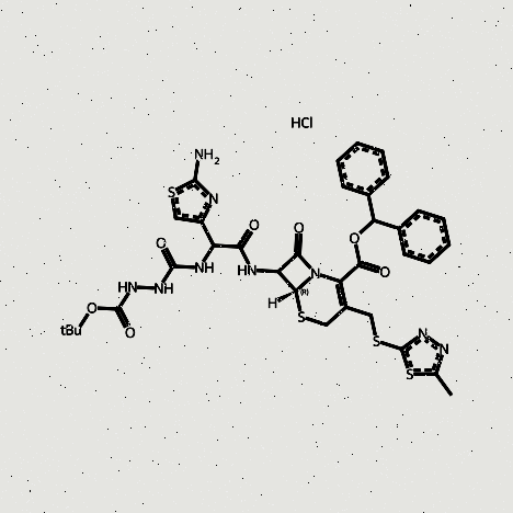 Cc1nnc(SCC2=C(C(=O)OC(c3ccccc3)c3ccccc3)N3C(=O)C(NC(=O)C(NC(=O)NNC(=O)OC(C)(C)C)c4csc(N)n4)[C@H]3SC2)s1.Cl